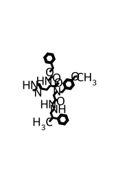 COc1ccc(CN(CC(=O)NNCC(C)c2ccccc2)C(=O)C(Cc2c[nH]cn2)NC(=O)OCc2ccccc2)cc1